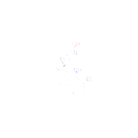 CCc1cccc2c3c([nH]c12)[C@@](CC)(C/C=N/O)OCC3